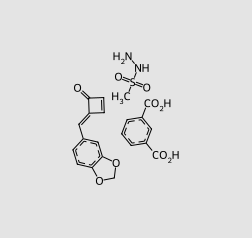 CS(=O)(=O)NN.O=C(O)c1cccc(C(=O)O)c1.O=C1C=CC1=Cc1ccc2c(c1)OCO2